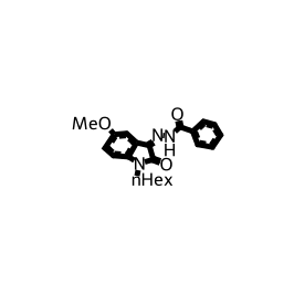 CCCCCCN1C(=O)C(=NNC(=O)c2ccccc2)c2cc(OC)ccc21